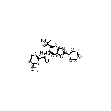 CC(C)(O)c1cc2nc(C3CCNCC3)oc2cc1NC(=O)c1cccc(C(F)(F)F)n1